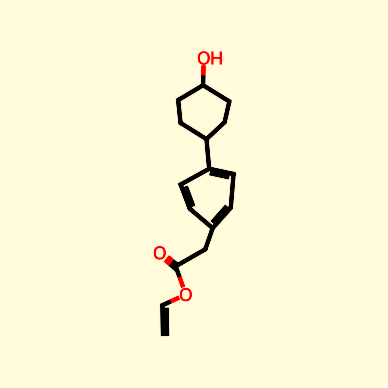 C=COC(=O)Cc1ccc(C2CCC(O)CC2)cc1